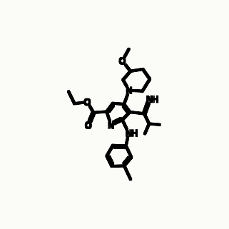 CCOC(=O)c1cc(N2CCCC(OC)C2)c(C(=N)C(C)C)c(Nc2cccc(C)c2)n1